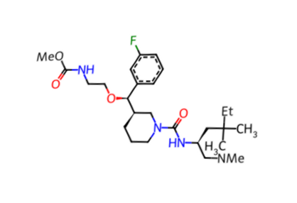 CCC(C)(C)C[C@@H](CNC)NC(=O)N1CCC[C@@H]([C@@H](OCCNC(=O)OC)c2cccc(F)c2)C1